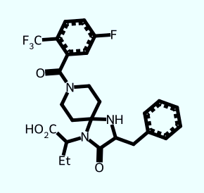 CCC(C(=O)O)N1C(=O)C(Cc2ccccc2)NC12CCN(C(=O)c1cc(F)ccc1C(F)(F)F)CC2